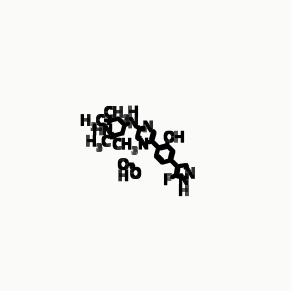 CC1(C)CC(Nc2cnc(-c3ccc(-c4cn[nH]c4F)cc3O)cn2)CC(C)(C)N1.O=CO